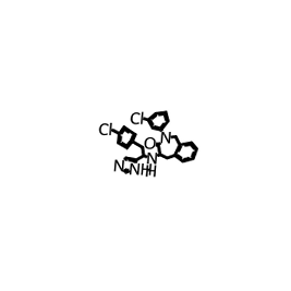 O=C1C(NC(Cc2ccc(Cl)cc2)c2cnc[nH]2)Cc2ccccc2CN1c1cccc(Cl)c1